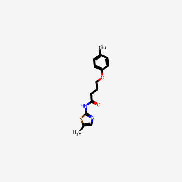 Cc1cnc(NC(=O)CCCOc2ccc(C(C)(C)C)cc2)s1